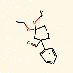 CCOC1(OCC)CCCC(C=O)(c2ccccc2)C1